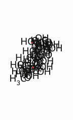 CC(=O)N[C@H]1[C@H](O[C@H]2[C@@H](O)[C@@H](CO[C@@H]3O[C@H](CO)[C@@H](O)[C@H](O)[C@H]3NC(C)=O)O[C@@H](O[C@H]3[C@H](O)[C@@H](O)[C@H](O)O[C@@H]3CO)[C@@H]2O)O[C@H](CO)[C@@H](O[C@@H]2O[C@H](CO[C@]3(C(=O)O)C[C@H](O)[C@@H](NC(C)=O)[C@H]([C@H](O)[C@H](O)CO)O3)[C@H](O)[C@H](O)[C@H]2O)[C@@H]1O